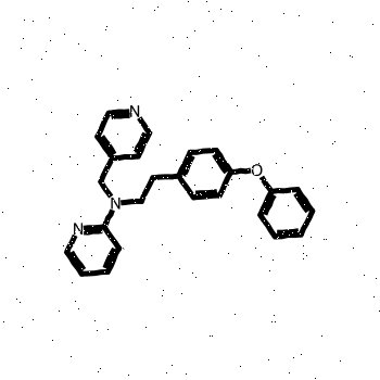 [c]1cccnc1N(CCc1ccc(Oc2ccccc2)cc1)Cc1ccncc1